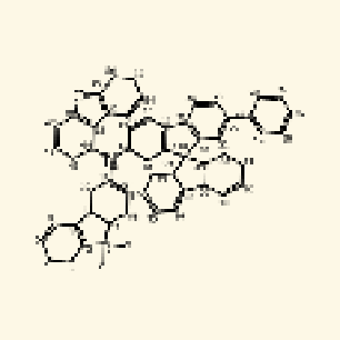 CC1(C)C2=C(C=CCC2)C2CC(N(C3C=CC4=C(C3)C3(c5cc(-c6ccccc6)ccc54)C4CC=CC=C4C4C=CCCC43)C3CC=Cc4oc5c(c43)C=CCC5)=CCC21